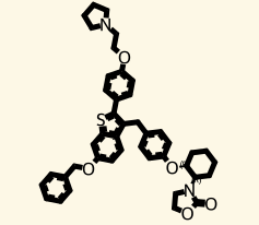 O=C1OCCN1[C@@H]1CCCC[C@H]1Oc1ccc(Cc2c(-c3ccc(OCCN4CCCC4)cc3)sc3cc(OCc4ccccc4)ccc23)cc1